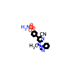 CN(c1cnc(C#N)c(-c2ccc(OS(N)(=O)=O)cc2)c1)n1cnc2ccccc21